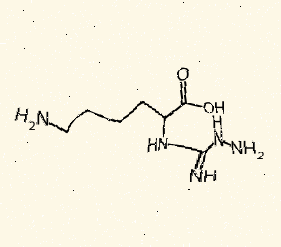 N=C(NN)NC(CCCCN)C(=O)O